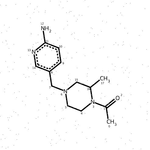 CC(=O)N1CCN(Cc2ccc(N)nc2)CC1C